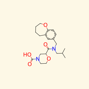 CC(C)CN(Cc1ccc2c(c1)CCCCO2)C(=O)C1CN(C(=O)O)CCO1